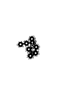 c1ccc(-c2ccc(-c3nc(-c4cccc5c4oc4ccccc4n4c6ccccc6c6cccc5c64)nc4ccccc34)cc2)cc1